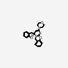 NC1(Cc2ccccc2Cl)C=C(N2CCOCC2)N=CN1Cc1ccccc1Cl